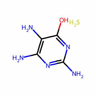 Nc1nc(N)c(N)c(O)n1.S